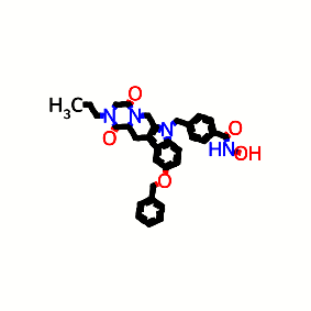 CCCN1CC(=O)N2Cc3c(c4cc(OCc5ccccc5)ccc4n3Cc3ccc(C(=O)NO)cc3)CC2C1=O